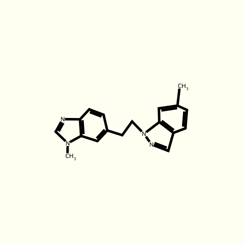 Cc1ccc2cnn(CCc3ccc4ncn(C)c4c3)c2c1